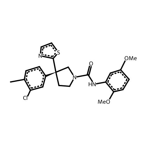 COc1ccc(OC)c(NC(=O)N2CC[C@](c3ccc(C)c(Cl)c3)(c3nccs3)C2)c1